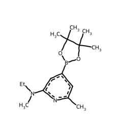 CCN(C)c1cc(B2OC(C)(C)C(C)(C)O2)cc(C)n1